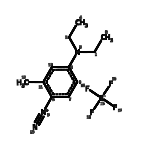 CCN(CC)c1ccc([N+]#N)c(C)c1.F[B-](F)(F)F